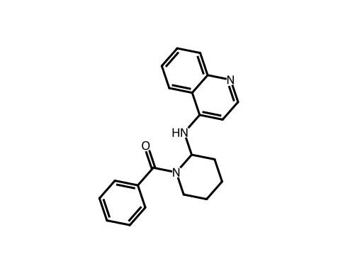 O=C(c1ccccc1)N1CCCCC1Nc1ccnc2ccccc12